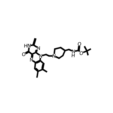 C=c1nc2c(c(=O)[nH]1)=Nc1cc(C)c(C)cc1N2CCN1CCC(CNC(=O)OC(C)(C)C)CC1